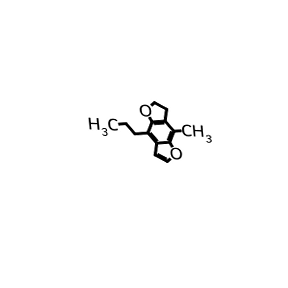 CCCc1c2c(c(C)c3occc13)CCO2